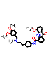 COc1ccc(CN(C)CCCc2ccc(NC(=O)c3cccc4c(=O)c5cccc(OC)c5[nH]c34)cc2)cc1OC